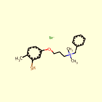 Cc1ccc(OCCC[N+](C)(C)Cc2ccccc2)cc1S.[Br-]